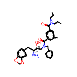 CCCN(CCC)C(=O)c1cc(C)cc(C(=O)N(Cc2ccccc2)C[C@@H](O)[C@@H](N)Cc2ccc3c(c2)OCO3)c1